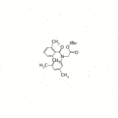 Cc1cc(C)cc(N(CC(=O)OC(C)(C)C)C(=O)c2c(C)cccc2C)c1